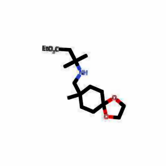 CCOC(=O)CC(C)(C)NCC1(C)CCC2(CC1)OCCO2